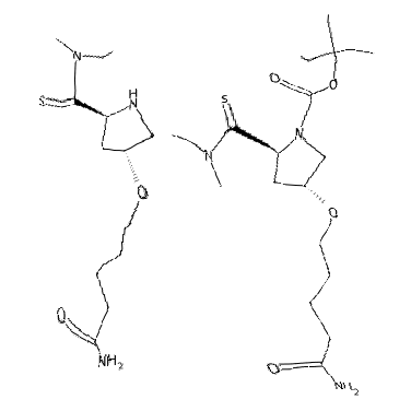 CN(C)C(=S)[C@@H]1C[C@@H](OCCCCC(N)=O)CN1.CN(C)C(=S)[C@@H]1C[C@@H](OCCCCC(N)=O)CN1C(=O)OC(C)(C)C